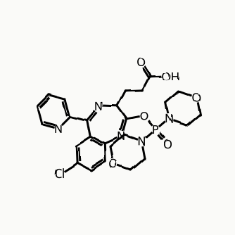 O=C(O)CCC1N=C(c2ccccn2)c2cc(Cl)ccc2N=C1OP(=O)(N1CCOCC1)N1CCOCC1